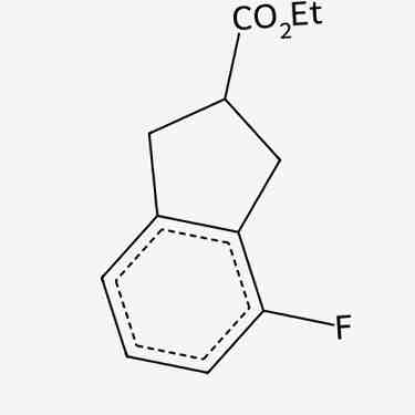 CCOC(=O)C1Cc2cccc(F)c2C1